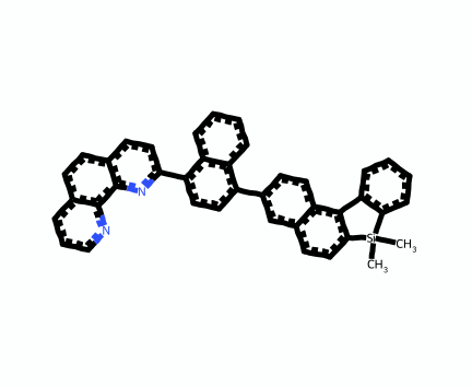 C[Si]1(C)c2ccccc2-c2c1ccc1cc(-c3ccc(-c4ccc5ccc6cccnc6c5n4)c4ccccc34)ccc21